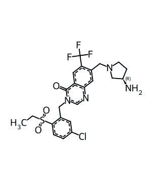 CCS(=O)(=O)c1ccc(Cl)cc1Cn1cnc2cc(CN3CC[C@@H](N)C3)c(C(F)(F)F)cc2c1=O